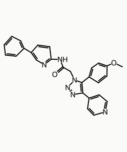 COc1ccc(-c2c(-c3ccncc3)nnn2CC(=O)Nc2ccc(-c3ccccc3)cn2)cc1